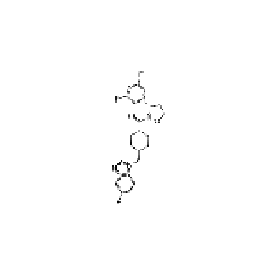 O=C([C@H]1CC[C@H](Cn2cnc3cc(F)ccc32)CC1)N1OCC[C@H]1c1cc(F)cc(F)c1